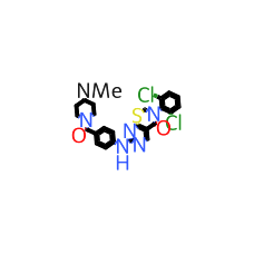 CNC1CCN(C(=O)c2ccc(Nc3ncc4c(n3)SCN(c3c(Cl)cccc3Cl)C4=O)cc2)CC1